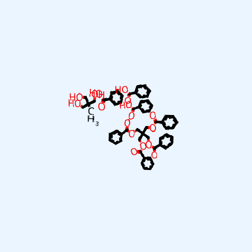 CC(CO)(CO)CO.O=C(O)c1ccccc1.O=C(O)c1ccccc1.O=C(O)c1ccccc1.O=C(OCC(COC(=O)c1ccccc1)(COC(=O)c1ccccc1)COC(=O)c1ccccc1)c1ccccc1